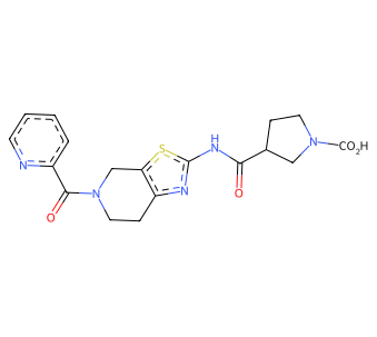 O=C(Nc1nc2c(s1)CN(C(=O)c1ccccn1)CC2)C1CCN(C(=O)O)C1